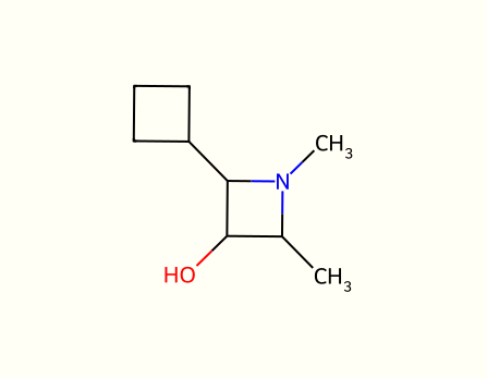 CC1C(O)C(C2CCC2)N1C